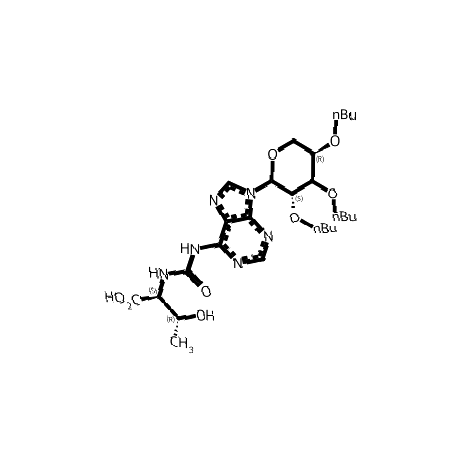 CCCCOC1[C@H](OCCCC)C(n2cnc3c(NC(=O)N[C@H](C(=O)O)[C@@H](C)O)ncnc32)OC[C@H]1OCCCC